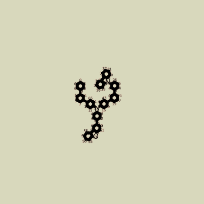 c1ccc(-c2cccc(-c3ccc(N(c4ccc(-c5cccc(-c6cccc(-n7c8ccccc8c8ccccc87)c6)c5)cc4)c4ccc(-c5ccc6oc7ccccc7c6c5)cc4)cc3)c2)cc1